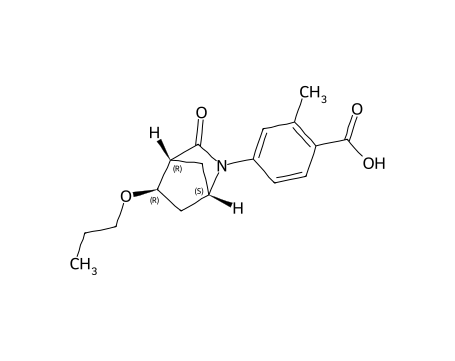 CCCO[C@@H]1C[C@@H]2C[C@H]1C(=O)N2c1ccc(C(=O)O)c(C)c1